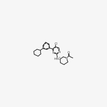 CC(=O)N1CCC[C@H](Nc2ncc(Cl)c(-c3cccc(C4CCCCC4)c3)n2)C1